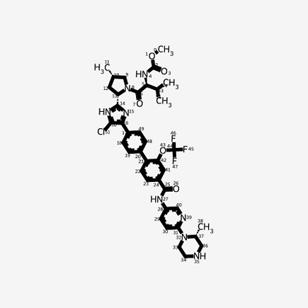 COC(=O)N[C@H](C(=O)N1C[C@@H](C)C[C@H]1c1nc(-c2ccc(-c3ccc(C(=O)Nc4ccc(N5CCNC[C@H]5C)nc4)cc3OC(F)(F)F)cc2)c(Cl)[nH]1)C(C)C